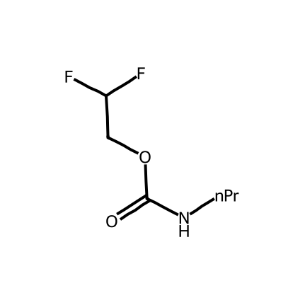 CCCNC(=O)OCC(F)F